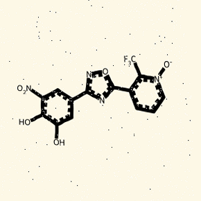 O=[N+]([O-])c1cc(-c2noc(-c3ccc[n+]([O-])c3C(F)(F)F)n2)cc(O)c1O